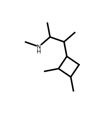 CNC(C)C(C)C1CC(C)C1C